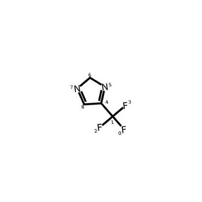 FC(F)(F)C1=NCN=C1